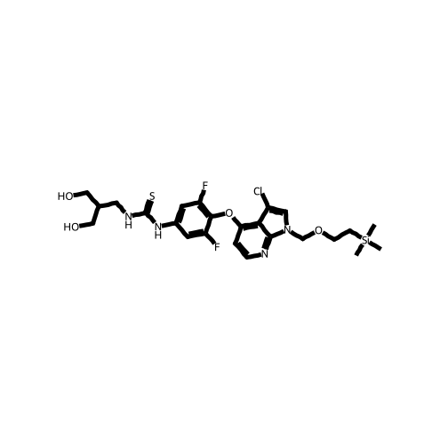 C[Si](C)(C)CCOCn1cc(Cl)c2c(Oc3c(F)cc(NC(=S)NCC(CO)CO)cc3F)ccnc21